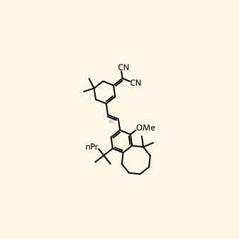 CCCC(C)(C)c1cc(/C=C/C2=CC(=C(C#N)C#N)CC(C)(C)C2)c(OC)c2c1CCCCCC2(C)C